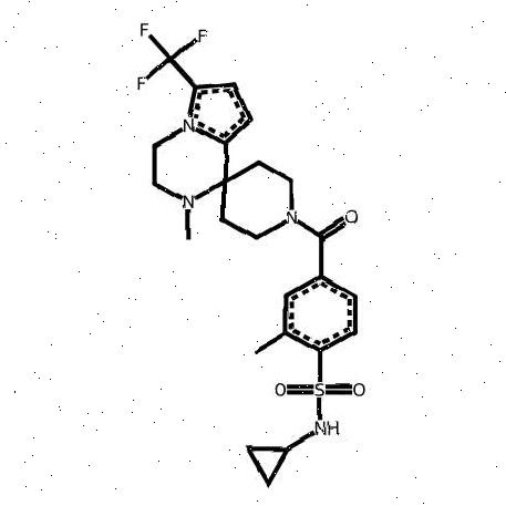 Cc1cc(C(=O)N2CCC3(CC2)c2ccc(C(F)(F)F)n2CCN3C)ccc1S(=O)(=O)NC1CC1